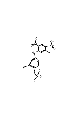 Nc1cc(Nc2cc(F)c([N+](=O)[O-])cc2[N+](=O)[O-])ccc1OS(=O)(=O)O